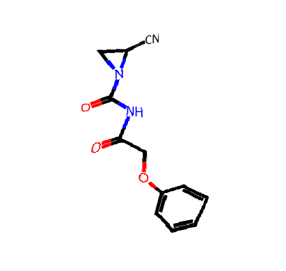 N#CC1CN1C(=O)NC(=O)COc1ccccc1